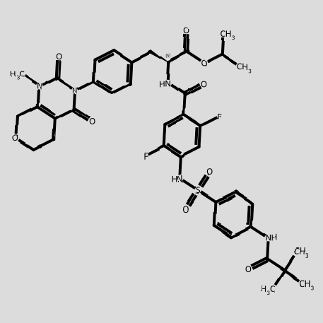 CC(C)OC(=O)[C@H](Cc1ccc(-n2c(=O)c3c(n(C)c2=O)COCC3)cc1)NC(=O)c1cc(F)c(NS(=O)(=O)c2ccc(NC(=O)C(C)(C)C)cc2)cc1F